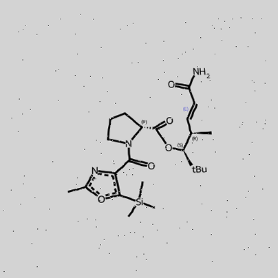 Cc1nc(C(=O)N2CCC[C@@H]2C(=O)O[C@@H]([C@H](C)/C=C/C(N)=O)C(C)(C)C)c([Si](C)(C)C)o1